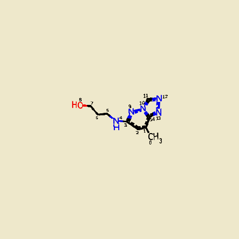 Cc1cc(NCCCO)nn2cnnc12